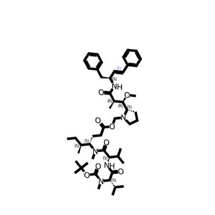 CC[C@H](C)[C@H](CCC(=O)OCN1CCC[C@H]1[C@H](OC)[C@@H](C)C(=O)N[C@H](/C=C/c1ccccc1)Cc1ccccc1)N(C)C(=O)[C@@H](NC(=O)[C@H](C(C)C)N(C)C(=O)OC(C)(C)C)C(C)C